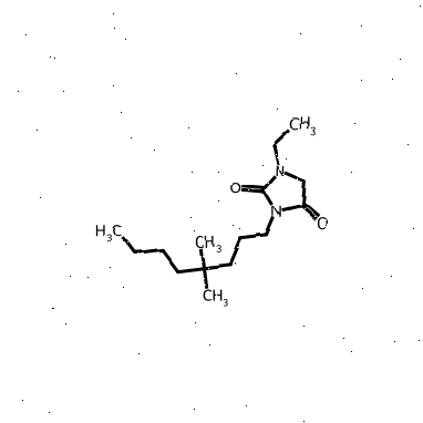 CCCCC(C)(C)[CH]CCN1C(=O)CN(CC)C1=O